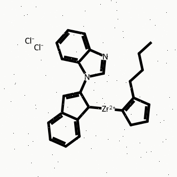 CCCCC1=[C]([Zr+2][CH]2C(n3cnc4ccccc43)=Cc3ccccc32)CC=C1.[Cl-].[Cl-]